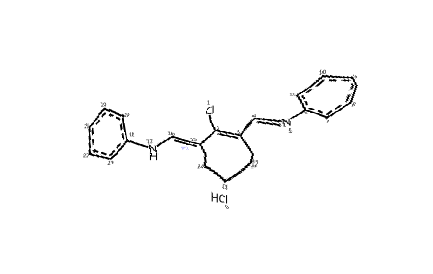 Cl.ClC1=C(C=Nc2ccccc2)CCC/C1=C\Nc1ccccc1